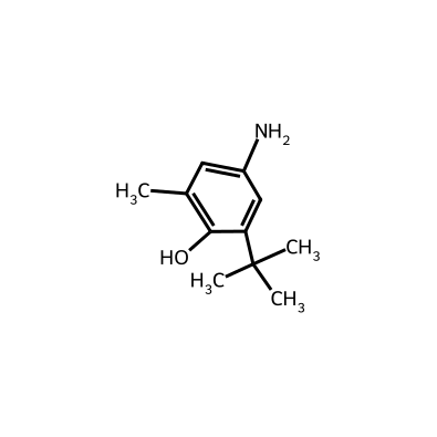 Cc1cc(N)cc(C(C)(C)C)c1O